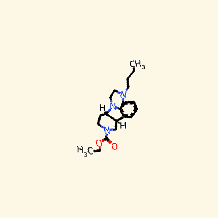 CCCCN1CCN2c3c(cccc31)[C@@H]1CN(C(=O)OCC)CC[C@@H]12